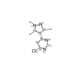 Cc1nn(C)c(C)c1-c1cc(Cl)ncn1